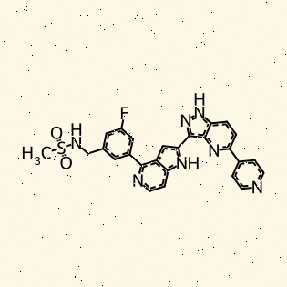 CS(=O)(=O)NCc1cc(F)cc(-c2nccc3[nH]c(-c4n[nH]c5ccc(-c6ccncc6)nc45)cc23)c1